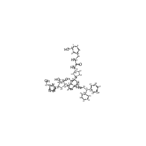 O=C(NCc1cccc(O)c1)N[C@@H]1CCN(c2nc(NCC(c3ccccc3)c3ccccc3)c3ncn([C@@H]4C[C@H](n5nnc(CO)n5)[C@@H](O)[C@H]4O)c3n2)C1